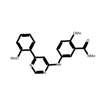 CNC(=O)c1cc(Nc2cc(-c3ccccc3OC)ncn2)ccc1OC